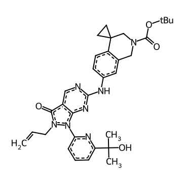 C=CCn1c(=O)c2cnc(Nc3ccc4c(c3)CN(C(=O)OC(C)(C)C)CC43CC3)nc2n1-c1cccc(C(C)(C)O)n1